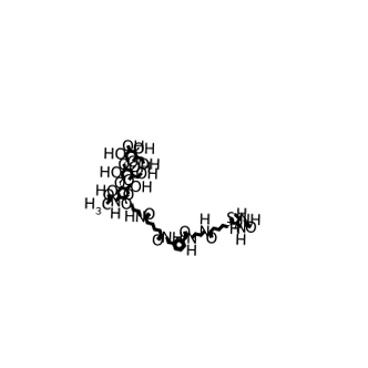 CC(=O)NC1C(O)[C@H](O[C@@H]2OC(CO)[C@H](O)C(O[C@H]3OC(CO)[C@H](O)C(O)C3O)C2O)C(CO)O[C@H]1OCCCNC(=O)CCCCC(=O)NCc1cccc(C(=O)NCCNC(=O)CCCC[C@@H]2SC[C@@H]3NC(=O)N[C@@H]32)c1